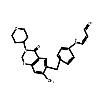 Cc1cc2c(cc1Cc1ccc(N/C=C\C=N)cc1)C(=O)N(C1CCOCC1)CO2